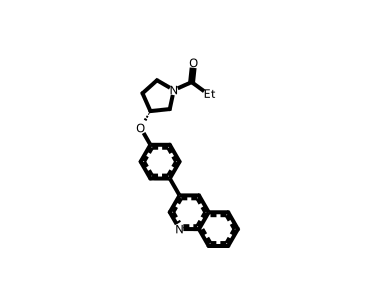 CCC(=O)N1CC[C@@H](Oc2ccc(-c3cnc4ccccc4c3)cc2)C1